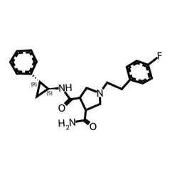 NC(=O)C1CN(CCc2ccc(F)cc2)CC1C(=O)N[C@H]1C[C@@H]1c1ccccc1